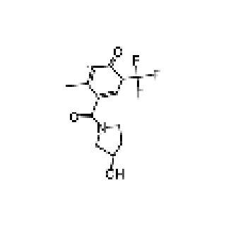 CC1=[C]C(=O)C(C(F)(F)F)C=C1C(=O)N1CCC(O)C1